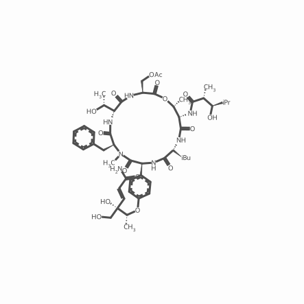 CC[C@H](C)[C@H]1NC(=O)[C@@H](NC(=O)[C@H](C)[C@H](O)C(C)C)[C@@H](C)OC(=O)[C@H](COC(C)=O)NC(=O)[C@@H]([C@@H](C)O)NC(=O)[C@H](Cc2ccccc2)N(C)C(=O)[C@H](c2ccc(O[C@H](C)[C@](O)(/C=C/C(N)=O)CO)cc2)NC1=O